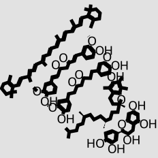 CC1=C(/C=C/C(C)=C/C=C/C(C)=C/C=C/C=C(C)/C=C/C=C(C)/C=C/C2=C(C)CCCC2(C)C)C(C)(C)CCC1.COc1cc(/C=C/C(=O)CC(=O)/C=C/c2ccc(O)c(OC)c2)ccc1O.COc1cc(CCC(=O)CC(=O)CCc2ccc(O)c(OC)c2)ccc1O.Cc1c(C)c2c(c(C)c1O)CC[C@@](C)(CCC[C@H](C)CCC[C@H](C)CCCC(C)C)O2.Oc1cc(O)c2c(c1)O[C@H](c1ccc(O)c(O)c1)[C@@H](O)C2